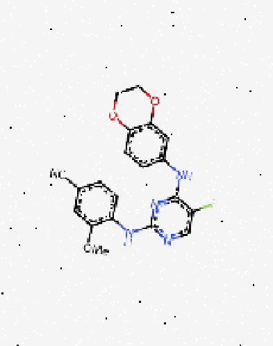 COc1cc(C#N)ccc1Nc1ncc(F)c(Nc2ccc3c(c2)OCCO3)n1